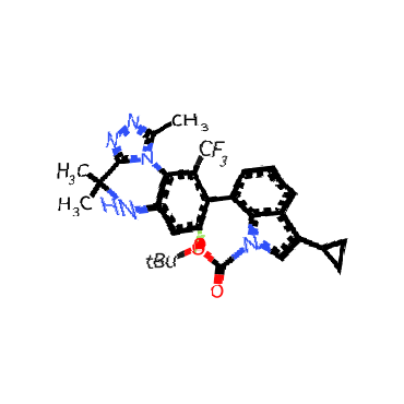 Cc1nnc2n1-c1c(cc(F)c(-c3cccc4c(C5CC5)cn(C(=O)OC(C)(C)C)c34)c1C(F)(F)F)NC2(C)C